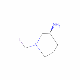 N[C@H]1CCCN(CI)C1